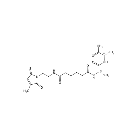 BC(=O)[C@H](C)NC(=O)[C@H](C)NC(=O)CCCCC(=O)NCCN1C(=O)C=C(C)C1=O